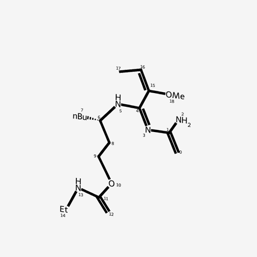 C=C(N)/N=C(N[C@@H](CCCC)CCOC(=C)NCC)\C(=C/C)OC